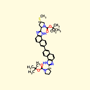 CS[C@H]1CC(c2nc3ccc4cc(-c5ccc6c(ccc7nc([C@@H]8CCCN8C(=O)OC(C)(C)C)[nH]c76)c5)ccc4c3[nH]2)N(C(=O)OC(C)(C)C)C1